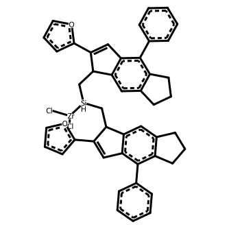 [Cl][Zr]([Cl])[SiH](CC1C(c2ccco2)=Cc2c1cc1c(c2-c2ccccc2)CCC1)CC1C(c2ccco2)=Cc2c1cc1c(c2-c2ccccc2)CCC1